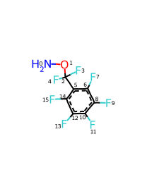 NOC(F)(F)c1c(F)c(F)c(F)c(F)c1F